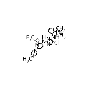 CN1CCN(c2ccc(Nc3ncc(Cl)c(Nc4ccccc4P(C)(C)=O)n3)c(OCC(F)(F)F)n2)CC1